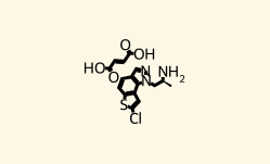 C[C@H](N)Cn1ncc2ccc3sc(Cl)cc3c21.O=C(O)/C=C/C(=O)O